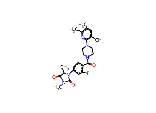 Cc1cc(C)c(N2CCN(C(=O)c3ccc(N4C(=O)N(C)C(=O)C4C)cc3F)CC2)nc1C